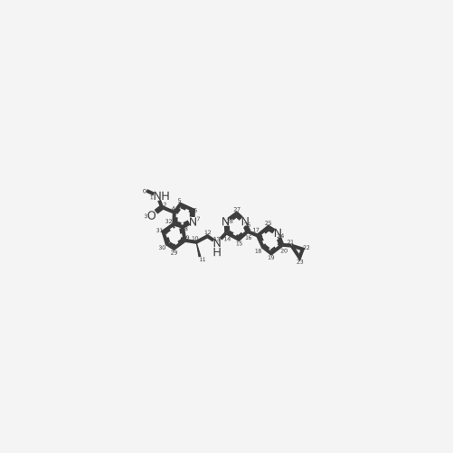 CNC(=O)c1ccnc2c([C@H](C)CNc3cc(-c4ccc(C5CC5)nc4)ncn3)cccc12